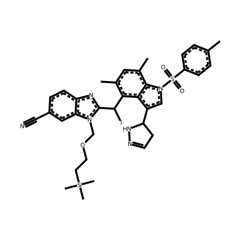 Cc1ccc(S(=O)(=O)n2cc(C3CC=NN3)c3c(C(I)c4nc5ccc(C#N)cc5n4COCC[Si](C)(C)C)c(C)cc(C)c32)cc1